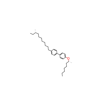 CCCCCC[C@@H](C)Oc1ccc(-c2ccc(CCCCCCCC[C@@H](C)CC)cc2)cc1